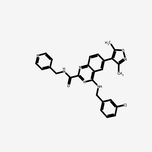 Cc1noc(C)c1-c1ccc2nc(C(=O)NCc3ccncc3)nc(NCc3cccc(Cl)c3)c2c1